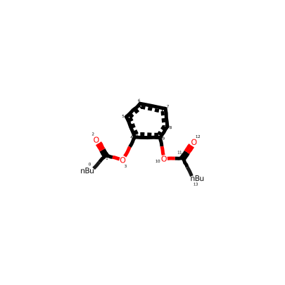 CCCCC(=O)Oc1ccccc1OC(=O)CCCC